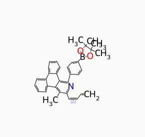 C=C/C=C\c1nc(-c2ccc(B3OC(C)(C)C(C)(C)O3)cc2)c2c3ccccc3c3ccccc3c2c1C